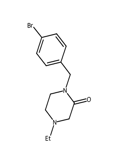 CCN1CCN(Cc2ccc(Br)cc2)C(=O)C1